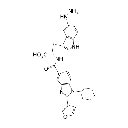 NNc1ccc2[nH]cc(C[C@H](NC(=O)c3ccc4c(c3)nc(-c3ccoc3)n4C3CCCCC3)C(=O)O)c2c1